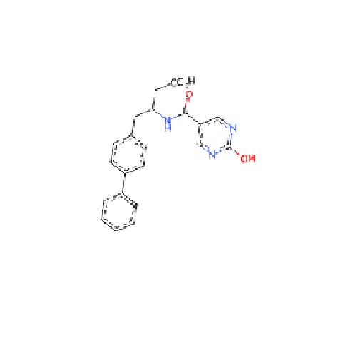 O=C(O)CC(Cc1ccc(-c2ccccc2)cc1)NC(=O)c1cnc(O)nc1